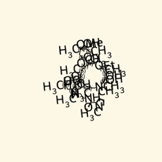 CC[C@H]1OC(=O)[C@H](C)[C@@H](O[C@H]2C[C@@](C)(OC)[C@@H](O)[C@H](C)O2)[C@H](C)[C@@H](O[C@@H]2O[C@H](C)C[C@H](N(C)CCNC(=O)c3cccn3C)[C@H]2O)[C@](C)(O)C[C@@H](C)CN(C)[C@H](C)[C@@H](O)[C@]1(C)O